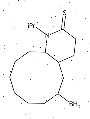 BC1CCCCCCC2C(CCC(=S)N2C(C)C)C1